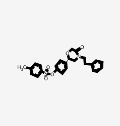 Cc1ccc(S(=O)(=O)Oc2ccc([C@H]3CN(CCc4ccccc4)C(=O)CO3)cc2)cc1